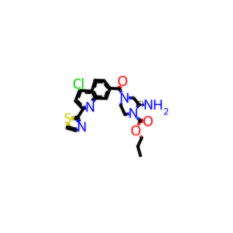 CCCOC(=O)N1CCN(C(=O)c2ccc3c(Cl)cc(-c4nccs4)nc3c2)C[C@H]1N